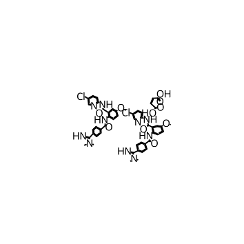 COc1ccc(NC(=O)c2ccc(C(=N)N(C)C)cc2)c(C(=O)Nc2ccc(Cl)cn2)c1.COc1ccc(NC(=O)c2ccc(C(=N)N(C)C)cc2)c(C(=O)Nc2ccc(Cl)cn2)c1.O=C(O)/C=C\C(=O)O